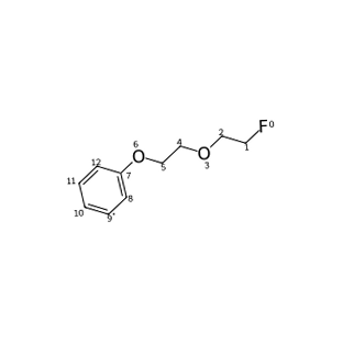 FCCOCCOc1c[c]ccc1